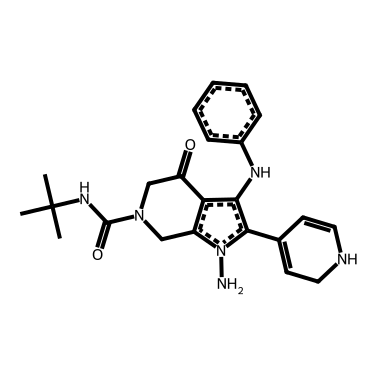 CC(C)(C)NC(=O)N1CC(=O)c2c(Nc3ccccc3)c(C3=CCNC=C3)n(N)c2C1